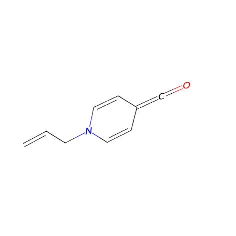 C=CCN1C=CC(=C=O)C=C1